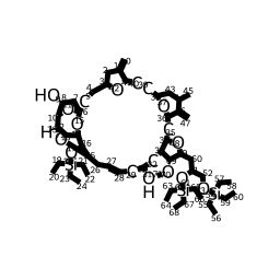 C=C1CC2CCC34C[C@@H](O)C(O3)[C@H]3CC(O4)C(O[Si](CC)(CC)CC)C(C/C=C/CC(O)CC4C(CC5OC(CCC1O2)CC(C)C5=C)OC(CC(CO[Si](CC)(CC)CC)O[Si](CC)(CC)CC)[C@@H]4OC)O3